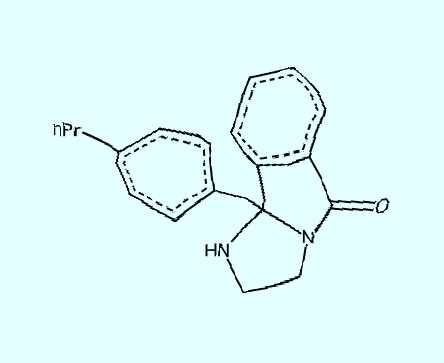 CCCc1ccc(C23NCCN2C(=O)c2ccccc23)cc1